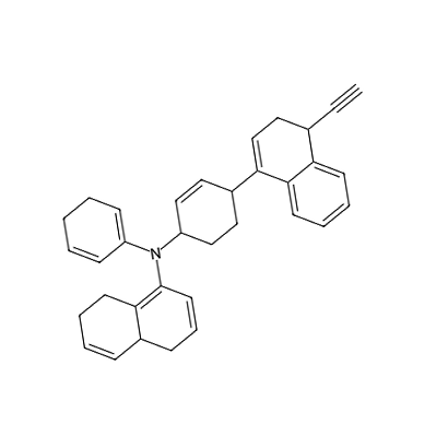 C#CC1CC=C(C2C=CC(N(C3=CCCC=C3)C3=C4CCC=CC4CC=C3)CC2)c2ccccc21